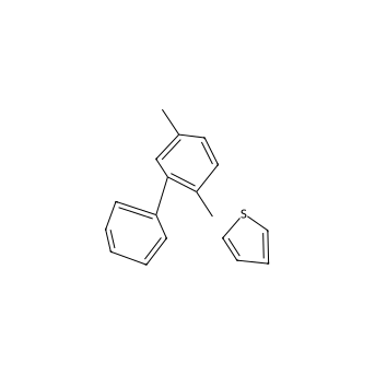 Cc1ccc(C)c(-c2ccccc2)c1.c1ccsc1